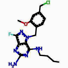 CCCCNc1nc(N)nc2c(F)nn(Cc3ccc(CCl)cc3OC)c12